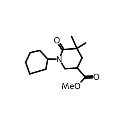 COC(=O)C1CN(C2CCCCC2)C(=O)C(C)(C)C1